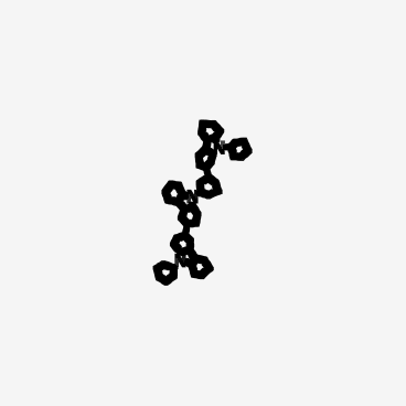 c1ccc(-n2c3ccccc3c3cc(-c4ccc5c(c4)c4ccccc4n5-c4cccc(-c5ccc6c7ccccc7n(-c7ccccc7)c6c5)c4)ccc32)cc1